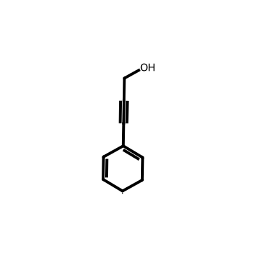 OCC#CC1=CC[CH]C=C1